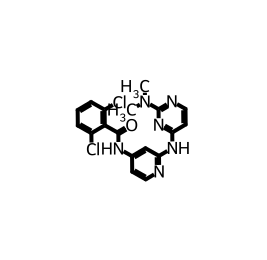 CN(C)c1nccc(Nc2cc(NC(=O)c3c(Cl)cccc3Cl)ccn2)n1